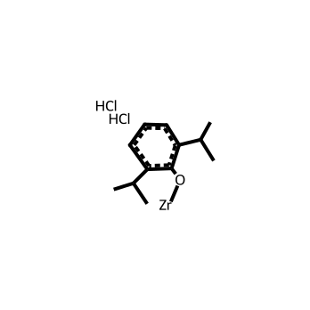 CC(C)c1cccc(C(C)C)c1[O][Zr].Cl.Cl